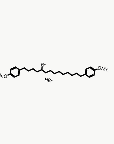 Br.COc1ccc(CCCCCCCCCC(Br)CCCCc2ccc(OC)cc2)cc1